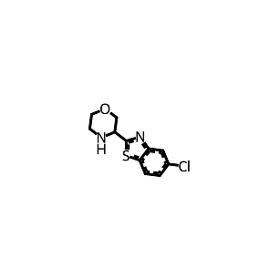 Clc1ccc2sc(C3COCCN3)nc2c1